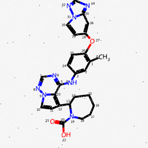 Cc1cc(Nc2ncnn3ccc(C4CCCCCN4C(=O)O)c23)ccc1Oc1ccn2ncnc2c1